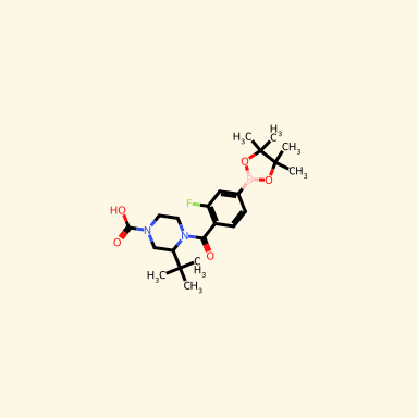 CC(C)(C)C1CN(C(=O)O)CCN1C(=O)c1ccc(B2OC(C)(C)C(C)(C)O2)cc1F